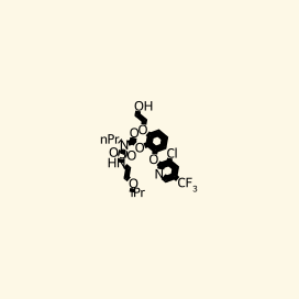 CCCN(C(=O)Oc1c(OCCO)cccc1Oc1ncc(C(F)(F)F)cc1Cl)S(=O)(=O)NCCOC(C)C